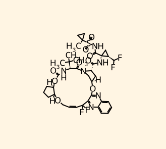 CC(C)(C)[C@@H]1NC(=O)O[C@@H]2CCC[C@H]2OCC=CC(F)(F)c2nc3ccccc3nc2O[C@@H]2C[C@@H](C(=O)N[C@]3(C(=O)NS(=O)(=O)C4(C)CC4)C[C@H]3C(F)F)N(C2)C1=O